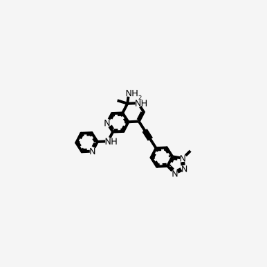 Cn1nnc2ccc(C#CC3=CNC(C)(N)c4cnc(Nc5ccccn5)cc43)cc21